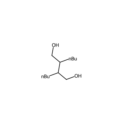 CCCCC(CO)C(CO)CCCC